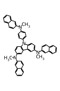 CN(c1ccc(-n2c3ccc(N(C)c4ccc5ccccc5c4)cc3c3cc(N(C)c4ccc5ccccc5c4)ccc32)cc1)c1ccc2ccccc2c1